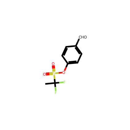 CC(F)(F)S(=O)(=O)Oc1ccc(C=O)cc1